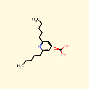 CCCCCc1cccc(CCCCC)n1.O=C(O)O